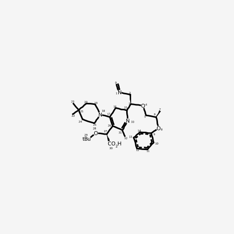 C=NC[C@@H](OC[C@@H](C)Oc1ccccc1)C1CC(N2CCC(C)(C)CC2)=C([C@H](OC(C)(C)C)C(=O)O)C(C)=N1